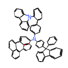 c1ccc(-c2cccc3cccc(-c4ccc(N(c5ccc(-c6ccccc6-n6c7ccccc7c7ccccc76)cc5)c5ccc(C6(c7ccccc7)c7ccccc7-c7ccccc76)cc5)cc4)c23)cc1